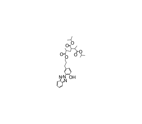 CC(C)OC(=O)C(C)C(CC(C)C(=O)OCCCc1ccc(O)c(-n2nc3ccccc3n2)c1)C(=O)OC(C)C